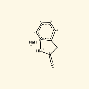 O=C1Cc2ccccc2N1.[NaH]